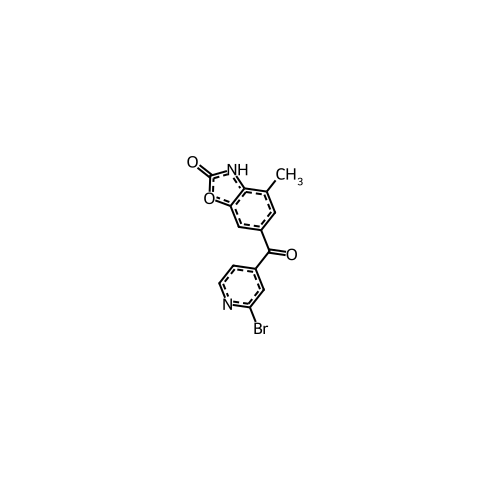 Cc1cc(C(=O)c2ccnc(Br)c2)cc2oc(=O)[nH]c12